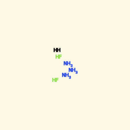 F.F.N.N.N.[HH]